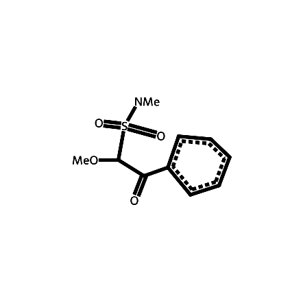 CNS(=O)(=O)C(OC)C(=O)c1ccccc1